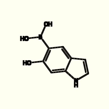 OB(O)c1cc2cc[nH]c2cc1O